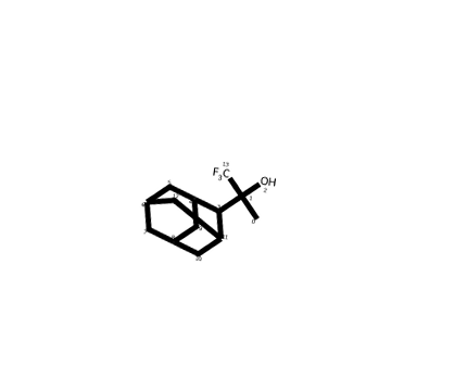 CC(O)(C1C2CC3CC(C2)CC1C3)C(F)(F)F